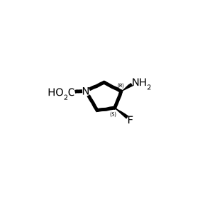 N[C@@H]1CN(C(=O)O)C[C@@H]1F